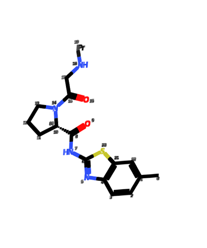 Cc1ccc2nc(NC(=O)[C@@H]3CCCN3C(=O)CNC(C)C)sc2c1